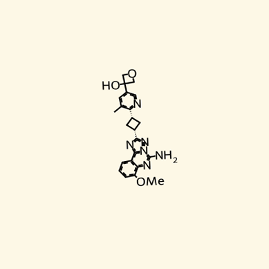 COc1cccc2c1nc(N)n1nc([C@H]3C[C@@H](c4ncc(C5(O)COC5)cc4C)C3)nc21